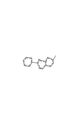 Cc1ccc2cnc(-c3ccccc3)nc2c1